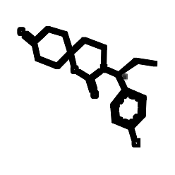 CC[C@@H](c1ccc(Cl)cc1)N1CCC2(CCC(=O)CC2)OC1=O